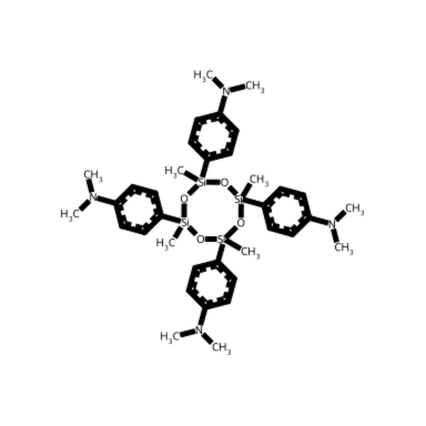 CN(C)c1ccc([Si]2(C)O[Si](C)(c3ccc(N(C)C)cc3)O[Si](C)(c3ccc(N(C)C)cc3)O[Si](C)(c3ccc(N(C)C)cc3)O2)cc1